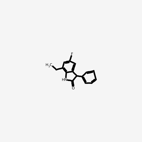 CCc1cc(F)cc2c1NC(=O)C2c1ccccc1